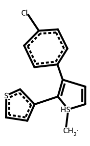 [CH2][SH]1C=CC(c2ccc(Cl)cc2)=C1c1ccsc1